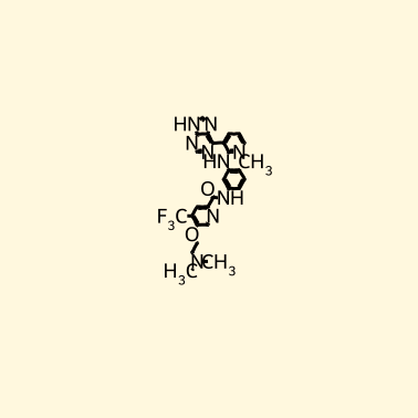 Cc1ccc(NC(=O)c2cc(C(F)(F)F)c(OCCN(C)C)cn2)cc1Nc1ncccc1-c1ncnc2[nH]cnc12